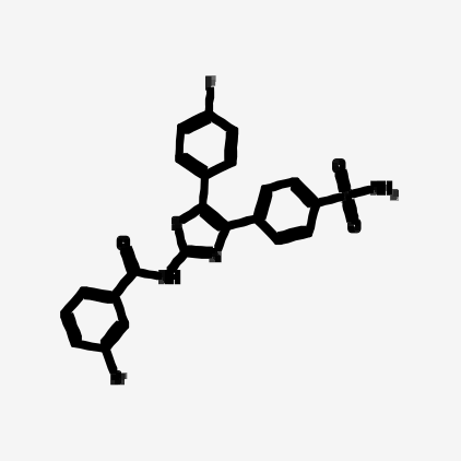 NS(=O)(=O)c1ccc(-c2nc(NC(=O)c3cccc(Br)c3)sc2-c2ccc(F)cc2)cc1